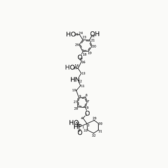 O=[P@@H](O)C1(COc2ccc(CCNCC(O)COc3ccc(O)c(CO)c3)cc2)CCCCC1